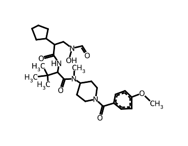 COc1ccc(C(=O)N2CCC(N(C)C(=O)C(NC(=O)C(CN(O)C=O)C3CCCC3)C(C)(C)C)CC2)cc1